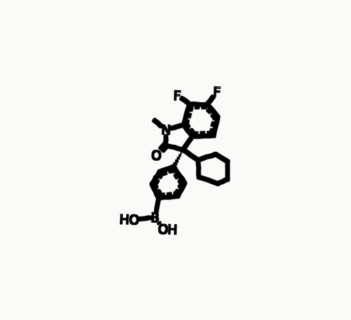 CN1C(=O)[C@](c2ccc(B(O)O)cc2)(C2CCCCC2)c2ccc(F)c(F)c21